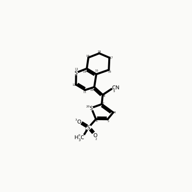 CS(=O)(=O)c1ccc(/C(C#N)=C2\C=CSC3=C2CCCC3)s1